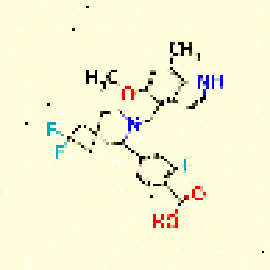 COc1cc(C)c2[nH]ccc2c1CN1CCC2(CC1c1ccc(C(=O)O)c(F)c1)CC(F)(F)C2